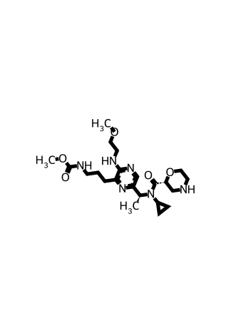 COCCNc1ncc([C@@H](C)N(C(=O)[C@H]2CNCCO2)C2CC2)nc1CCCNC(=O)OC